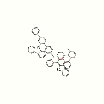 CC1C=CC=C(c2ccccc2)C1c1ccc(N(c2ccc(-c3ccc(-c4ccccc4)cc3-n3c4ccccc4c4ccccc43)cc2)c2ccccc2-c2cccc3c2oc2ccccc23)cc1